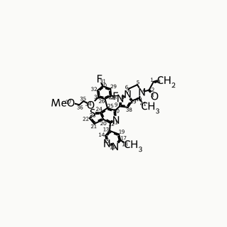 C=CC(=O)N1CCn2nc(-c3nc(-c4cnnc(C)c4)c4ccsc4c3-c3c(F)cc(F)cc3OCCOC)cc2C1C